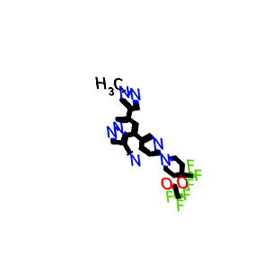 Cn1cc(-c2cc(-c3ccc(N4CCC(OC(=O)C(F)(F)F)(C(F)(F)F)CC4)nc3)c3c(C#N)cnn3c2)cn1